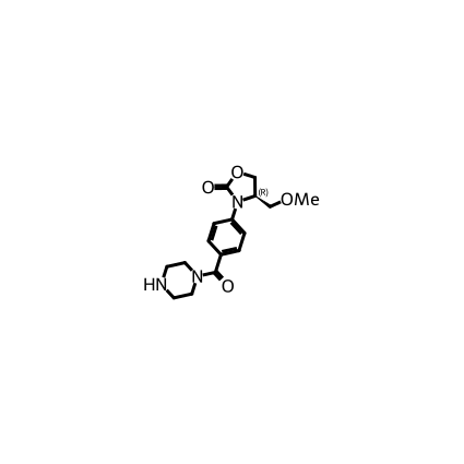 COC[C@@H]1COC(=O)N1c1ccc(C(=O)N2CCNCC2)cc1